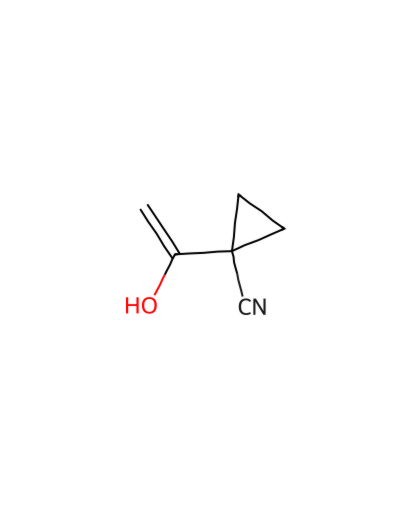 C=C(O)C1(C#N)CC1